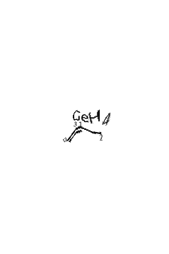 C=CC.[GeH4]